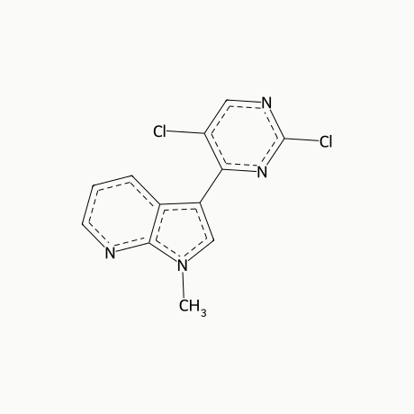 Cn1cc(-c2nc(Cl)ncc2Cl)c2cccnc21